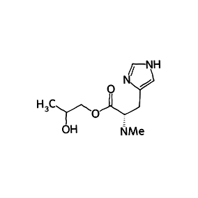 CN[C@@H](Cc1c[nH]cn1)C(=O)OCC(C)O